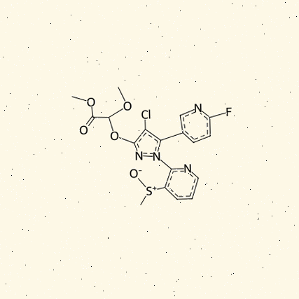 COC(=O)C(OC)Oc1nn(-c2ncccc2[S+](C)[O-])c(-c2ccc(F)nc2)c1Cl